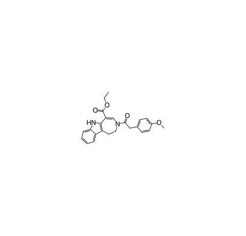 CCOC(=O)C1=CN(C(=O)Cc2ccc(OC)cc2)CCc2c1[nH]c1ccccc21